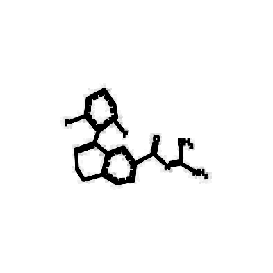 NC(N)=NC(=O)c1ccc2c(c1)C(c1c(F)cccc1F)=CCC2